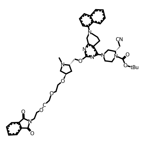 CN1C[C@H](OCCOCCOCCN2C(=O)c3ccccc3C2=O)C[C@H]1COc1nc2c(c(N3CCN(C(=O)OC(C)(C)C)[C@@H](CC#N)C3)n1)CCN(c1cccc3ccccc13)C2